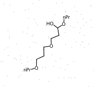 [CH2]CCOC(O)CCOCCCOCCC